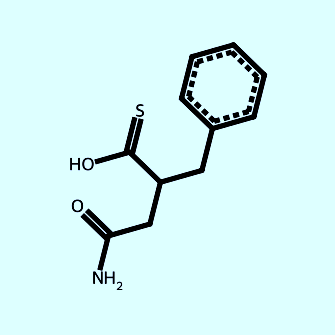 NC(=O)CC(Cc1ccccc1)C(O)=S